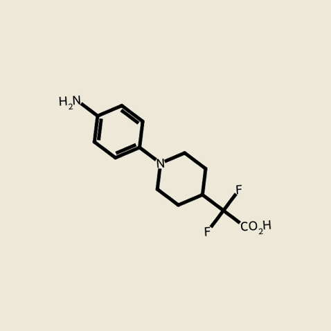 Nc1ccc(N2CCC(C(F)(F)C(=O)O)CC2)cc1